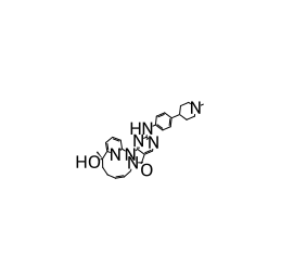 CN1CCC(c2ccc(Nc3ncc4c(=O)n5n(c4n3)-c3cccc(n3)[C@@](C)(O)CC/C=C\C5)cc2)CC1